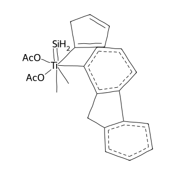 CC(=O)[O][Ti]([CH3])([CH3])(=[SiH2])([O]C(C)=O)([C]1=CC=CC1)[c]1cccc2c1Cc1ccccc1-2